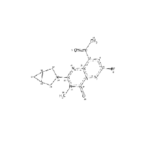 CC(=O)c1cc(Br)cc2c(=O)n(C)c(N3CC4CC4C3)nc12